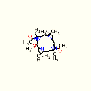 COc1c2nc(cc3[nH]c(cc4nc(cc5[nH]c1c(C(C)=O)c5C)C(C)(C)C4)c(C(C)=O)c3C)C(C)(C)C2